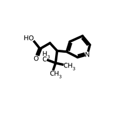 CC(C)(C)C(CC(=O)O)c1cccnc1